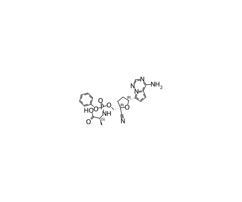 C[C@H](NP(=O)(OC[C@]1(C#N)CC[C@H](c2ccc3c(N)ncnn23)O1)Oc1ccccc1)C(=O)O